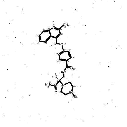 CCN1CCN([C@](O)(CNC(=O)c2ccc(OCc3cc(C)nc4ccccc34)cc2)C(N)=O)CC1